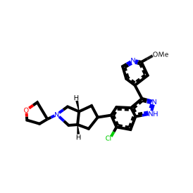 COc1cc(-c2n[nH]c3cc(Cl)c(C4C[C@@H]5CN(C6CCOC6)C[C@@H]5C4)cc23)ccn1